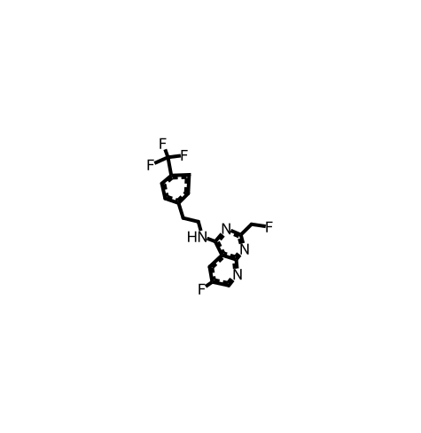 FCc1nc(NCCc2ccc(C(F)(F)F)cc2)c2cc(F)cnc2n1